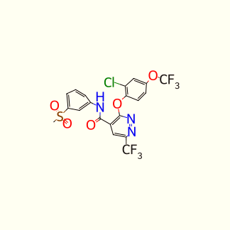 CS(=O)(=O)c1cccc(NC(=O)c2cc(C(F)(F)F)nnc2Oc2ccc(OC(F)(F)F)cc2Cl)c1